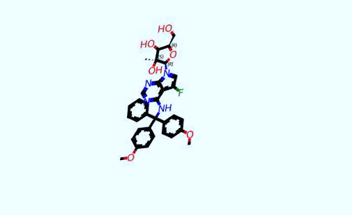 COc1ccc(C(Nc2ncnc3c2c(F)cn3[C@@H]2O[C@H](CO)C(O)[C@]2(C)O)(c2ccccc2)c2ccc(OC)cc2)cc1